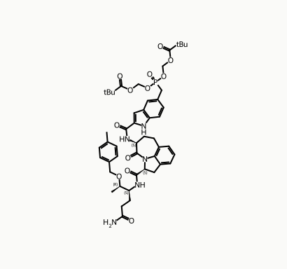 Cc1ccc(CO[C@H](C)[C@H](CCC(N)=O)NC(=O)[C@@H]2Cc3cccc4c3N2C(=O)[C@@H](NC(=O)c2cc3cc(CP(=O)(OCOC(=O)C(C)(C)C)OCOC(=O)C(C)(C)C)ccc3[nH]2)CC4)cc1